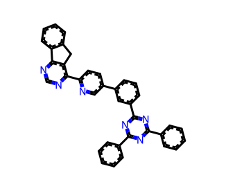 c1ccc(-c2nc(-c3ccccc3)nc(-c3cccc(-c4ccc(-c5ncnc6c5Cc5ccccc5-6)nc4)c3)n2)cc1